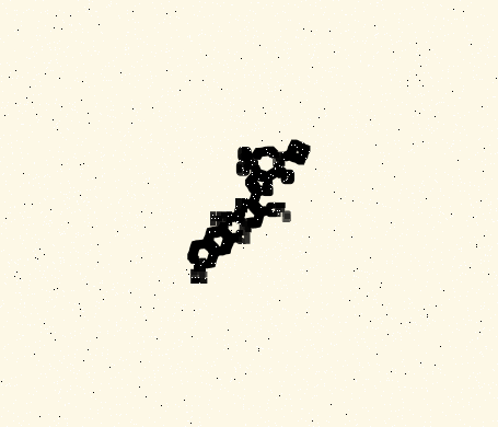 CCN1CCc2cc(Nc3ncc(C(F)(F)F)c(-c4cc5c(s4)C(=O)N(C4CCC4)CCS5(=O)=O)n3)c(Cl)cc2C1